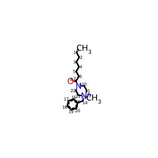 CCCCCCCC(=O)N1CC[N+](C)(Cc2ccccc2)CC1